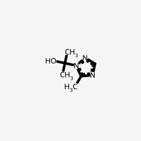 Cc1ncnn1C(C)(C)O